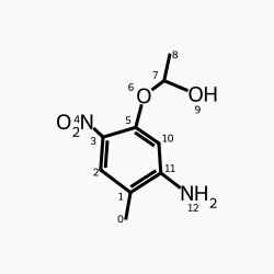 Cc1cc([N+](=O)[O-])c(OC(C)O)cc1N